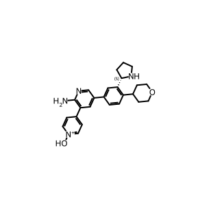 Nc1ncc(-c2ccc(C3CCOCC3)c([C@@H]3CCCN3)c2)cc1-c1cc[n+](O)cc1